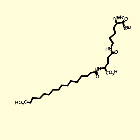 CNC(CCCCNC(=O)CCC(NC(=O)CCCCCCCCCCCCCCC(=O)O)C(=O)O)C(=O)C(C)(C)C